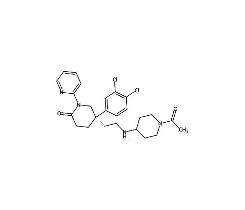 CC(=O)N1CCC(NCC[C@]2(c3ccc(Cl)c(Cl)c3)CCC(=O)N(c3ccccn3)C2)CC1